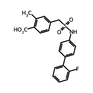 Cc1cc(CS(=O)(=O)Nc2ccc(-c3ccccc3F)cc2)ccc1C(=O)O